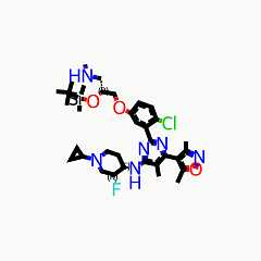 CNC[C@H](COc1ccc(Cl)c(-c2nc(N[C@H]3CCN(C4CC4)C[C@H]3F)c(C)c(-c3c(C)noc3C)n2)c1)O[Si](C)(C)C(C)(C)C